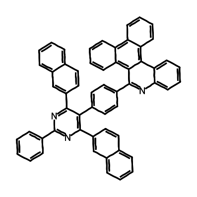 c1ccc(-c2nc(-c3ccc4ccccc4c3)c(-c3ccc(-c4nc5ccccc5c5c6ccccc6c6ccccc6c45)cc3)c(-c3ccc4ccccc4c3)n2)cc1